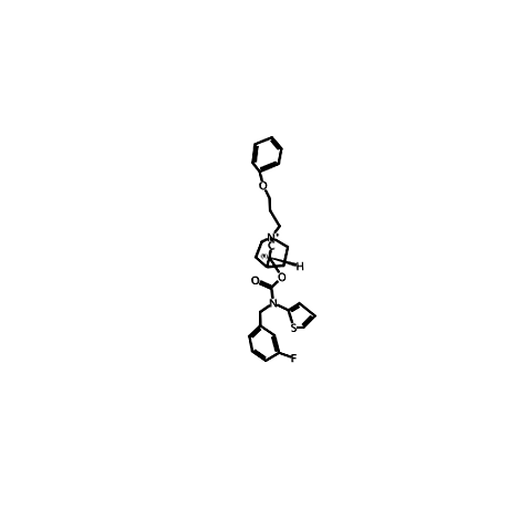 O=C(O[C@H]1C[N+]2(CCCOc3ccccc3)CCC1CC2)N(Cc1cccc(F)c1)c1cccs1